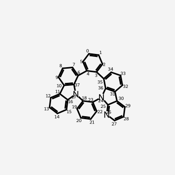 c1ccc2c(c1)c1cccc3c4ccccc4n(c4ccccc4n4c5ncccc5c5cccc2c54)c13